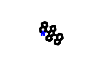 c1ccc2c(-c3c4ccccc4c(-c4nccc5ccccc45)c4ccccc34)cccc2c1